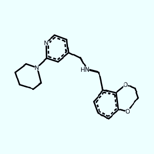 c1cc(CNCc2ccnc(N3CCCCC3)c2)c2c(c1)OCCO2